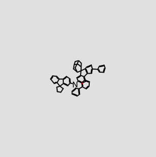 c1ccc(-c2ccc3c(c2)-c2ccc(N(c4ccc5c(c4)C4(CCCC4)c4ccccc4-5)c4ccccc4-c4ccccc4)cc2C32C3CC4CC(C3)CC2C4)cc1